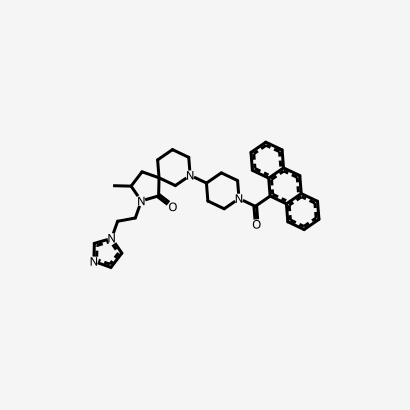 CC1CC2(CCCN(C3CCN(C(=O)c4c5ccccc5cc5ccccc45)CC3)C2)C(=O)N1CCn1ccnc1